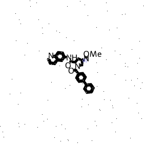 CO/N=C1\CC(C(=O)Nc2ccc3ncccc3c2)N(C(=O)c2ccc(-c3ccccc3)cc2)C1